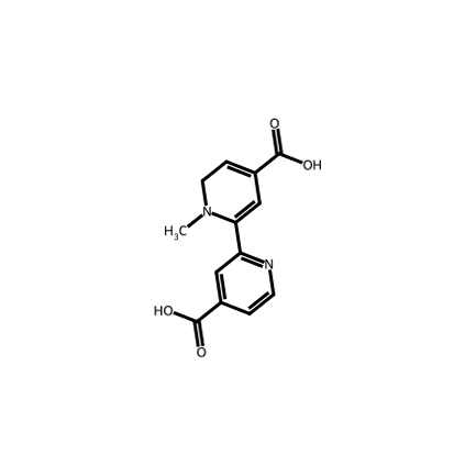 CN1CC=C(C(=O)O)C=C1c1cc(C(=O)O)ccn1